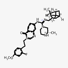 COc1ccc(CCn2cnc3cc(N/C(=N/CC4C[C@@H]5C[C@H]([C@H]4C)C5(C)C)N4CCN[C@@H](C)C4)ccc3c2=O)c(F)c1